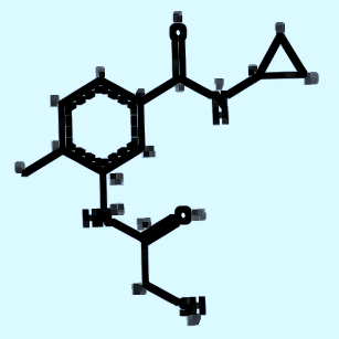 Cc1ccc(C(=O)NC2CC2)cc1NC(=O)CS